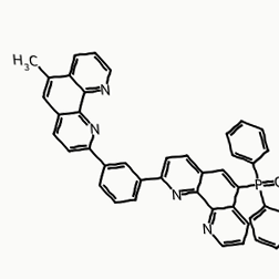 Cc1cc2ccc(-c3cccc(-c4ccc5cc(P(=O)(c6ccccc6)c6ccccc6)c6cccnc6c5n4)c3)nc2c2ncccc12